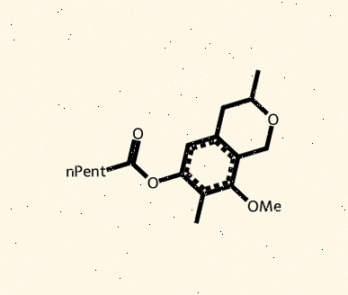 CCCCCC(=O)Oc1cc2c(c(OC)c1C)COC(C)C2